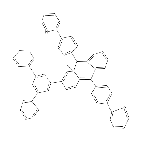 CC12C=C(c3cc(C4=CCCC=C4)cc(-c4ccccc4)c3)C=CC1=C(c1ccc(-c3ccccn3)cc1)c1ccccc1C2c1ccc(-c2ccccn2)cc1